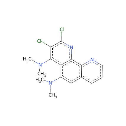 CN(C)c1cc2cccnc2c2nc(Cl)c(Cl)c(N(C)C)c12